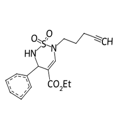 C#CCCCN1C=C(C(=O)OCC)C(c2ccccc2)NS1(=O)=O